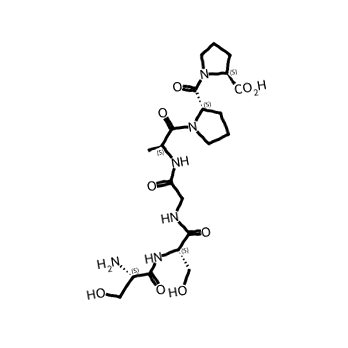 C[C@H](NC(=O)CNC(=O)[C@H](CO)NC(=O)[C@@H](N)CO)C(=O)N1CCC[C@H]1C(=O)N1CCC[C@H]1C(=O)O